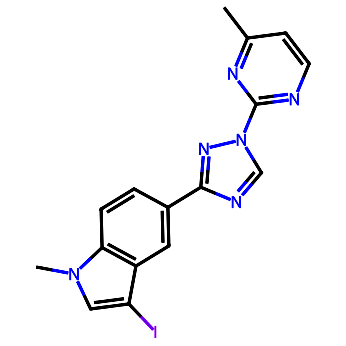 Cc1ccnc(-n2cnc(-c3ccc4c(c3)c(I)cn4C)n2)n1